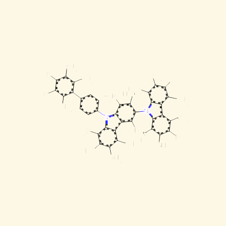 Bc1c(B)c(B)c(-c2ccc(-n3c4c(B)c(B)c(B)c(B)c4c4c(B)c(-n5c6c(B)c(B)c(B)c(B)c6c6c(B)c(B)c(B)c(B)c65)c(B)c(B)c43)cc2)c(B)c1B